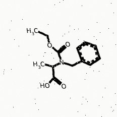 CCOC(=O)N(Cc1ccccc1)C(C)C(=O)O